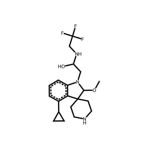 COC1N(CC(O)NCC(F)(F)F)c2cccc(C3CC3)c2C12CCNCC2